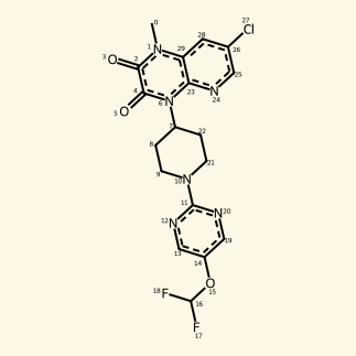 Cn1c(=O)c(=O)n(C2CCN(c3ncc(OC(F)F)cn3)CC2)c2ncc(Cl)cc21